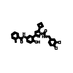 Cc1ccccc1C(=O)Nc1ccc(O)c(-c2cc(C3CCC3)n(C(=O)NCc3ccc(Cl)c(Cl)c3)n2)c1